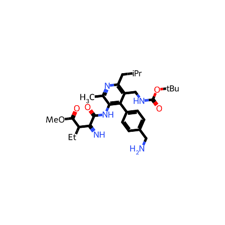 CCC(C(=N)C(=O)Nc1c(C)nc(CC(C)C)c(CNC(=O)OC(C)(C)C)c1-c1ccc(CN)cc1)C(=O)OC